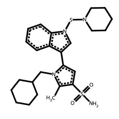 Cc1c(S(N)(=O)=O)cc(-c2cn(SN3CCCCC3)c3ccccc23)n1CC1CCCCC1